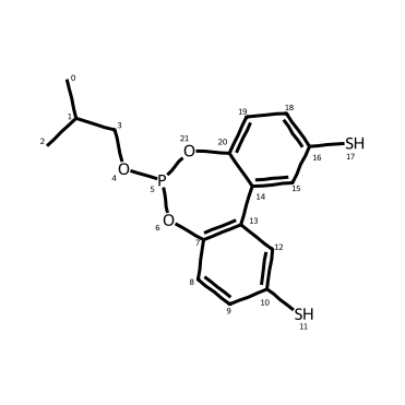 CC(C)COp1oc2ccc(S)cc2c2cc(S)ccc2o1